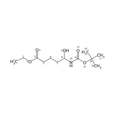 CCOC(=O)CCCC(O)NC(=O)OC(C)(C)C